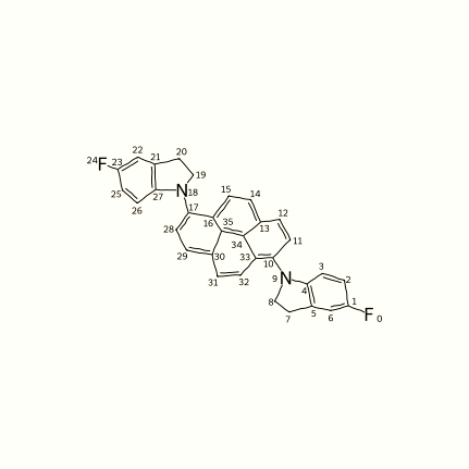 Fc1ccc2c(c1)CCN2c1ccc2ccc3c(N4CCc5cc(F)ccc54)ccc4ccc1c2c43